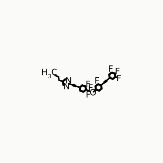 CCCCc1cnc(C#Cc2ccc(C(F)(F)Oc3ccc(C#Cc4cc(F)c(F)c(F)c4)c(F)c3)c(F)c2)nc1